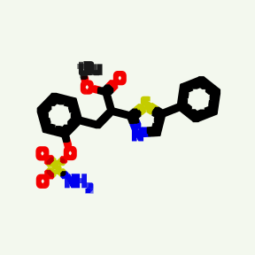 CC(C)(C)OC(=O)C(Cc1ccccc1OS(N)(=O)=O)c1ncc(-c2ccccc2)s1